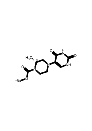 C[C@@H]1CN(c2c[nH]c(=O)[nH]c2=O)CCN1C(=O)OC(C)(C)C